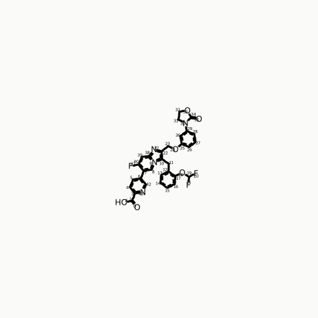 O=C(O)c1ccc(-c2cn3c(Cc4ccccc4OC(F)F)c(COc4cccc(N5CCOC5=O)c4)nc3cc2F)cn1